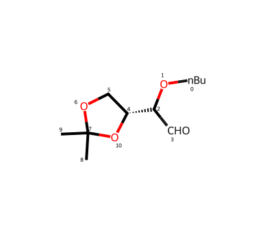 CCCCOC(C=O)[C@H]1COC(C)(C)O1